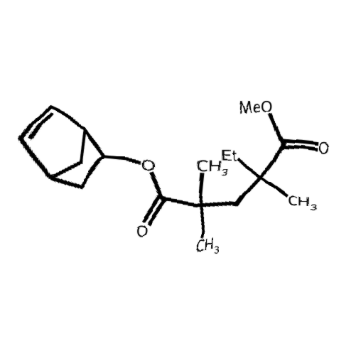 CCC(C)(CC(C)(C)C(=O)OC1CC2C=CC1C2)C(=O)OC